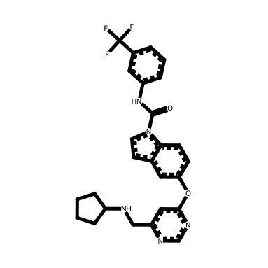 O=C(Nc1cccc(C(F)(F)F)c1)n1ccc2cc(Oc3cc(CNC4CCCC4)ncn3)ccc21